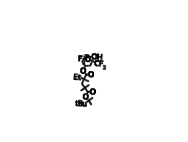 CCC(C)(CC(C)(C)C(=O)OC(C)(C)C(C)(C)C)C(=O)OC(CC(C)C)CC(O)(C(F)(F)F)C(F)(F)F